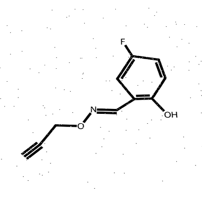 C#CCON=Cc1cc(F)ccc1O